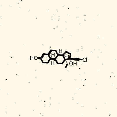 CC[C@]12CC[C@H]3[C@@H](CC=C4C=C(O)CC[C@@H]43)[C@@H]1CC[C@@]2(O)C#CCl